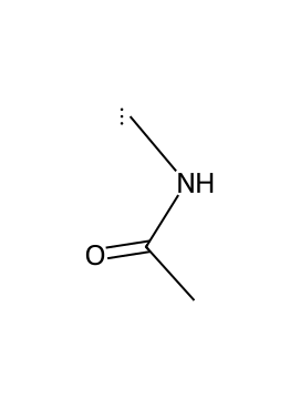 [C]NC(C)=O